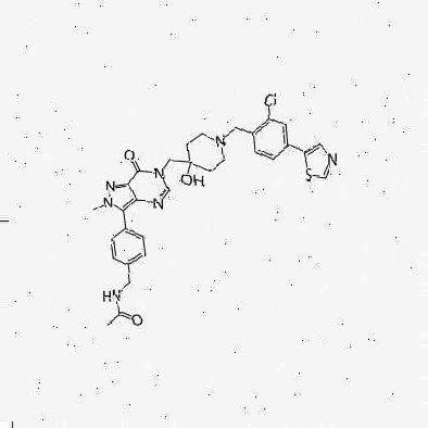 CC(=O)NCc1ccc(-c2c3ncn(CC4(O)CCN(Cc5ccc(-c6cncs6)cc5Cl)CC4)c(=O)c3nn2C)cc1